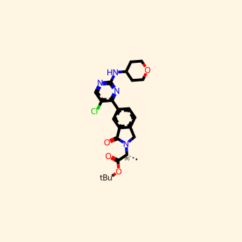 C[C@H](C(=O)OC(C)(C)C)N1Cc2ccc(-c3nc(NC4CCOCC4)ncc3Cl)cc2C1=O